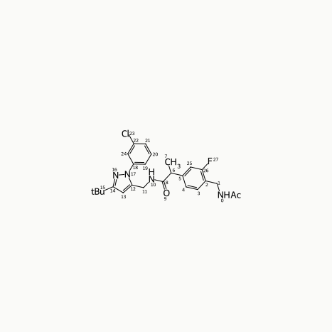 CC(=O)NCc1ccc(C(C)C(=O)NCc2cc(C(C)(C)C)nn2-c2cccc(Cl)c2)cc1F